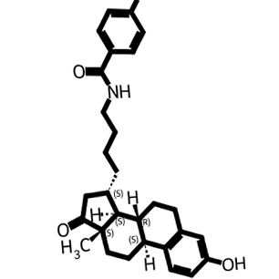 C[C@]12CC[C@@H]3c4ccc(O)cc4CC[C@H]3[C@@H]1[C@@H](CCCCNC(=O)c1ccc(F)cc1)CC2=O